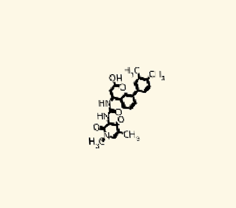 CC1=CN(C)C(=O)C(NC(=O)NC(CC(=O)O)c2cccc(-c3ccc(C)c(C)c3)c2)C1=O